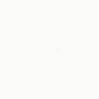 C[C@@H](CO)NCCCS(=O)(=O)O